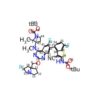 CC1C(N(C)c2nc(OC[C@@]34CCCN3C[C@H](F)C4)nc3cc(-c4ccc(F)c5sc(NC(=O)OC(C)(C)C)c(C#N)c45)c(F)cc23)CCN1C(=O)OC(C)(C)C